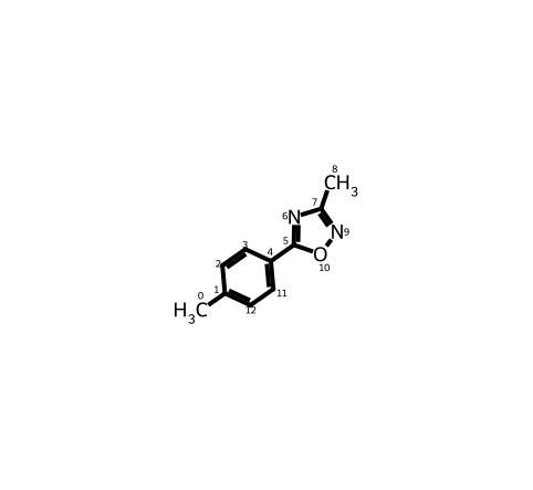 Cc1ccc(-c2nc(C)no2)cc1